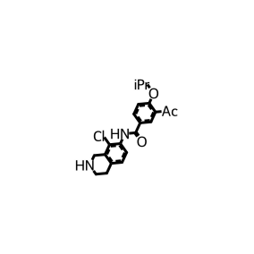 CC(=O)c1cc(C(=O)Nc2ccc3c(c2Cl)CNCC3)ccc1OC(C)C